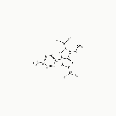 CCOC(=O)C(CCC(F)F)(CCC(F)F)c1ccc(N)cc1